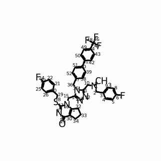 CN(Cc1ccc(F)cc1)Cc1nnc(Cn2c(SCc3ccc(F)cc3)nc(=O)c3c2CCC3)n1Cc1ccc(-c2ccc(C(F)(F)F)cc2)cc1